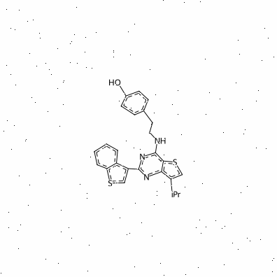 CC(C)c1csc2c(NCCc3ccc(O)cc3)nc(-c3csc4ccccc34)nc12